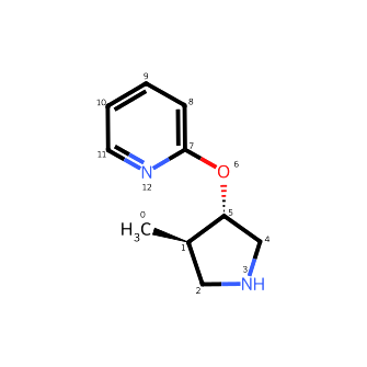 C[C@@H]1CNC[C@H]1Oc1ccccn1